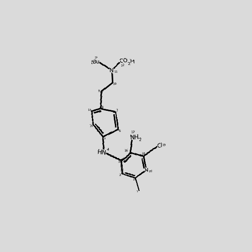 Cc1cc(Nc2ccc(CCN(C(=O)O)C(C)(C)C)cc2)c(N)c(Cl)n1